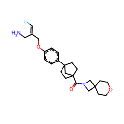 NC/C(=C\F)COc1ccc(C23CCC(C(=O)N4CC5(CCOCC5)C4)(CC2)C3)cc1